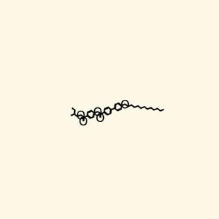 CCCCCCCCCCCCOc1ccc(-c2ccc(C(=O)Oc3ccc(C(=O)OCC(C)CC)cc3)cc2)cc1